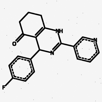 O=C1CCCC2=C1C(c1ccc(F)cc1)N=C(c1cccnc1)N2